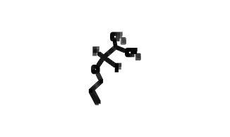 C=CCOC(F)(F)C(C(F)(F)F)C(F)(F)F